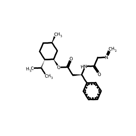 C=NCC(=O)N[C@H](CC(=O)O[C@@H]1C[C@H](C)CC[C@H]1C(C)C)c1ccccc1